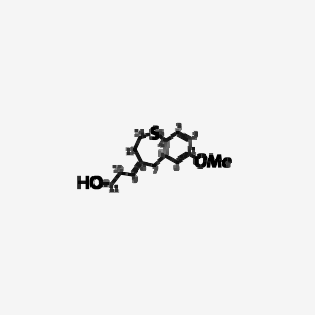 COc1ccc2c(c1)CC(=CCCO)CCS2